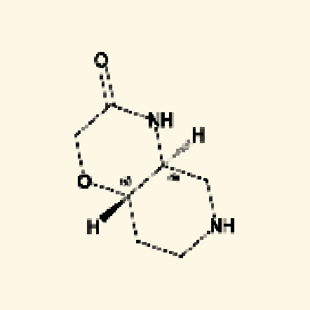 O=C1CO[C@H]2CCNC[C@@H]2N1